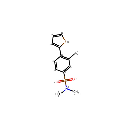 CC(=O)c1cc(S(=O)(=O)N(C)C)ccc1-c1cccs1